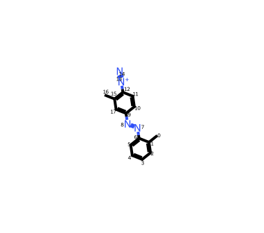 Cc1ccccc1N=Nc1ccc([N+]#N)c(C)c1